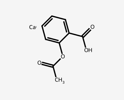 CC(=O)Oc1ccccc1C(=O)O.[Ca]